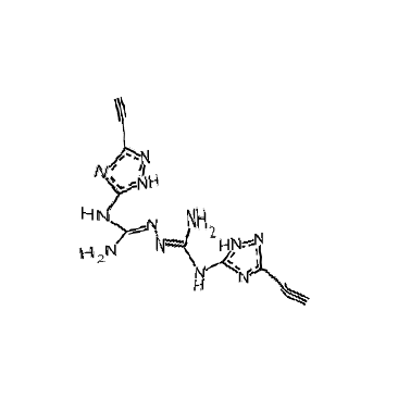 C#Cc1n[nH]c(N/C(N)=N/N=C(\N)Nc2nc(C#C)n[nH]2)n1